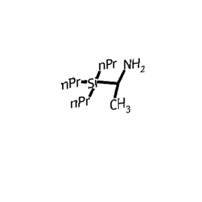 CCC[Si](CCC)(CCC)C(C)N